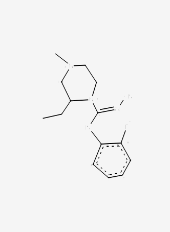 CC(C)CC1CN(C)CCN1/C(=N\C#N)Nc1ccccc1F